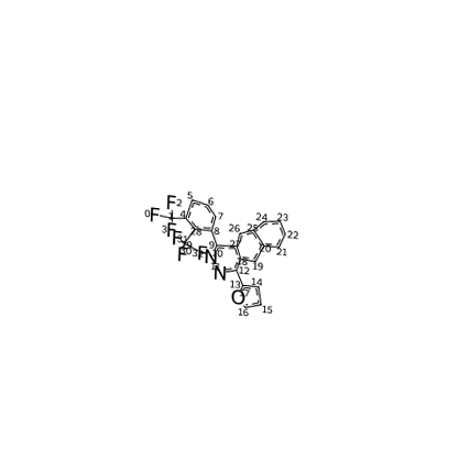 FC(F)(F)c1cccc(-c2nnc(-c3ccco3)c3cc4ccccc4cc23)c1C(F)(F)F